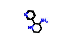 NC1CCCNC1c1cccnc1